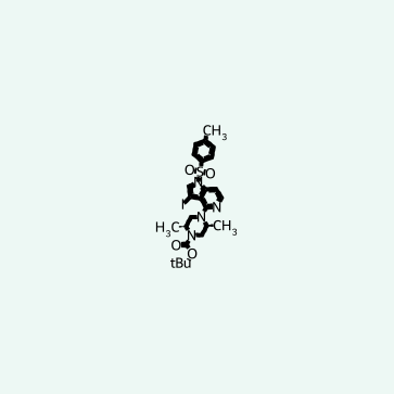 Cc1ccc(S(=O)(=O)n2cc(I)c3c(N4C[C@@H](C)N(C(=O)OC(C)(C)C)C[C@@H]4C)nccc32)cc1